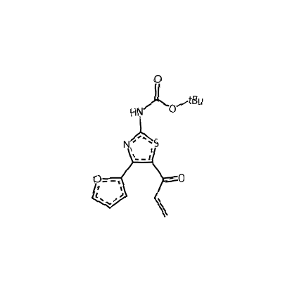 C=CC(=O)c1sc(NC(=O)OC(C)(C)C)nc1-c1ccco1